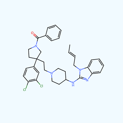 CC=CCn1c(NC2CCN(CCC3(c4ccc(Cl)c(Cl)c4)CCN(C(=O)c4ccccc4)C3)CC2)nc2ccccc21